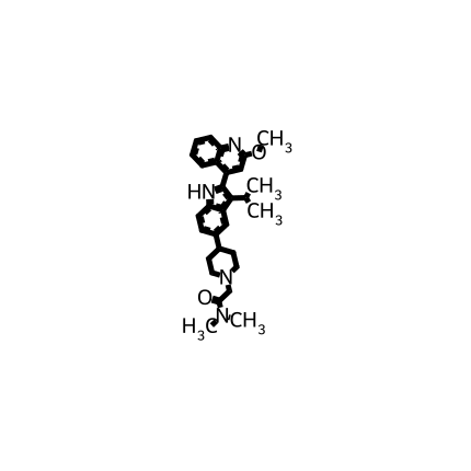 COc1cc(-c2[nH]c3ccc(C4CCN(CC(=O)N(C)C)CC4)cc3c2C(C)C)c2ccccc2n1